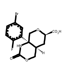 O=C1N[C@@]2(c3cc(Br)ccc3F)CO[C@@H](C(=O)O)C[C@H]2CO1